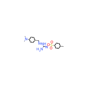 Cc1ccc(S(=O)(=O)ON=C(N)NN=Cc2ccc(N(C)C)cc2)cc1